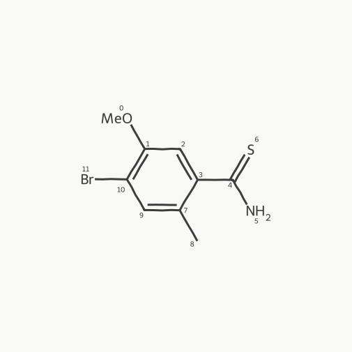 COc1cc(C(N)=S)c(C)cc1Br